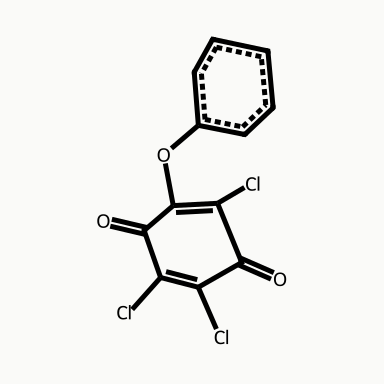 O=C1C(Cl)=C(Cl)C(=O)C(Oc2ccccc2)=C1Cl